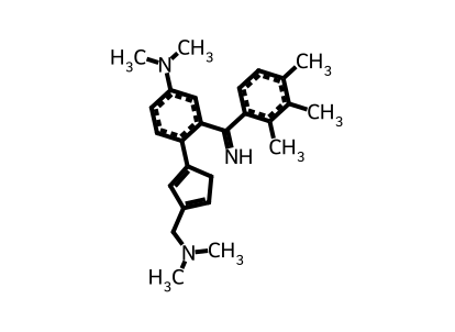 Cc1ccc(C(=N)c2cc(N(C)C)ccc2C2=CC(CN(C)C)=CC2)c(C)c1C